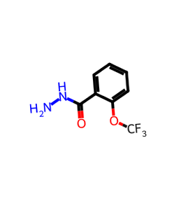 NNC(=O)c1ccccc1OC(F)(F)F